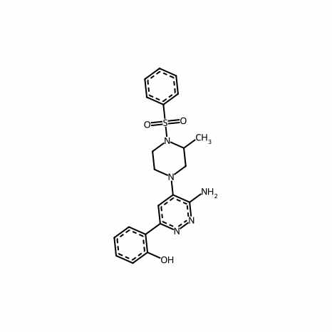 CC1CN(c2cc(-c3ccccc3O)nnc2N)CCN1S(=O)(=O)c1ccccc1